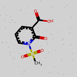 CS(=O)(=O)n1cccc(C(=O)O)c1=O